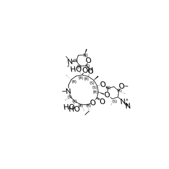 CC[C@H]1OC(=O)[C@H](C)[C@@H](O[C@H]2C[C@@](C)(OC)C([N+]#N)[C@H](C)O2)[C@H](C)[C@@H](O[C@@H]2O[C@H](C)C[C@H](N(C)C)[C@H]2O)[C@](C)(O)C[C@@H](C)CN(C)[C@@H](C)[C@@H](O)[C@]1(C)O